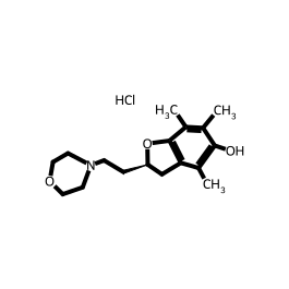 Cc1c(C)c2c(c(C)c1O)C[C@@H](CCN1CCOCC1)O2.Cl